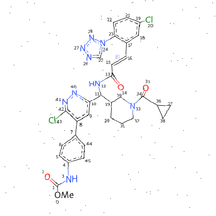 COC(=O)Nc1ccc(-c2cc(C(NC(=O)/C=C/c3cc(Cl)ccc3-n3cnnn3)C3CCCN(C(=O)C4CC4)C3)nnc2Cl)cc1